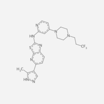 Cc1[nH]ncc1-c1ccc2nc(Nc3cc(N4CCN(CCC(F)(F)F)CC4)ccn3)sc2n1